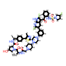 Cc1ncsc1-c1ccc([C@H](C)NC(=O)[C@@H]2C[C@@H](O)CN2C(=O)C(NC(=O)CN2CCC(N3CCN(c4cccc(-c5cc6c(C(=O)c7ccccc7NS(=O)(=O)N7CCC(F)C7)c(F)[nH]c6nc5F)c4)CC3)CC2)C(C)(C)C)cc1